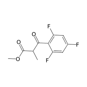 COC(=O)C(C)C(=O)c1c(F)cc(F)cc1F